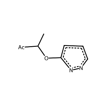 CC(=O)C(C)Oc1cccnn1